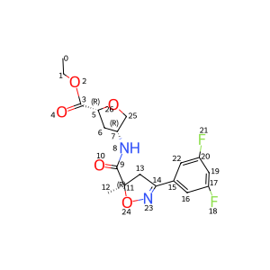 CCOC(=O)[C@H]1C[C@@H](NC(=O)[C@@]2(C)CC(c3cc(F)cc(F)c3)=NO2)CO1